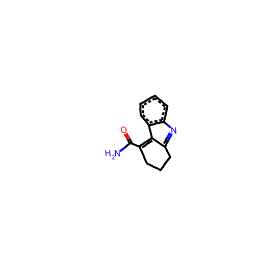 NC(=O)C1=C2C(=Nc3ccccc32)CCC1